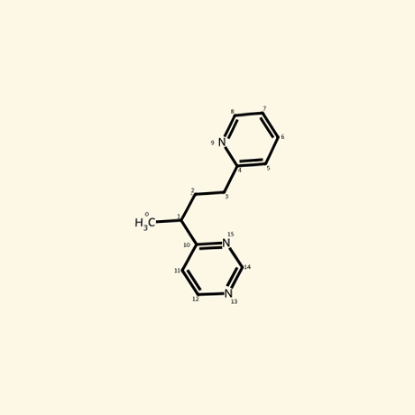 CC([CH]Cc1ccccn1)c1ccncn1